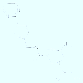 CC1CN(C(=O)OC(C)(C)C)CC(C(=O)NCc2ccc(-c3ncccn3)cc2)N1